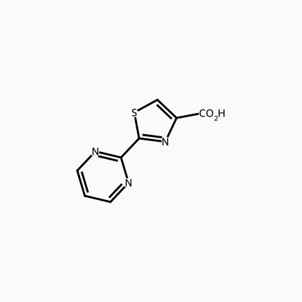 O=C(O)c1csc(-c2ncccn2)n1